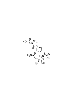 NC(=O)CC[C@H](N)C(=O)O.N[C@@H](CC(=O)O)C(=O)O.N[C@@H](Cc1ccccc1)C(=O)O